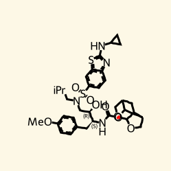 COc1ccc(C[C@H](NC(=O)OC2C3COC4OCC2C4C3)[C@H](O)CN(CC(C)C)S(=O)(=O)c2ccc3nc(NC4CC4)sc3c2)cc1